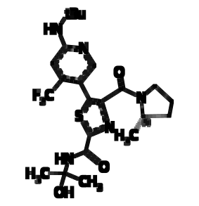 C[C@H]1CCCN1C(=O)c1nc(C(=O)NC(C)(C)O)sc1-c1cnc(NC(C)(C)C)cc1C(F)(F)F